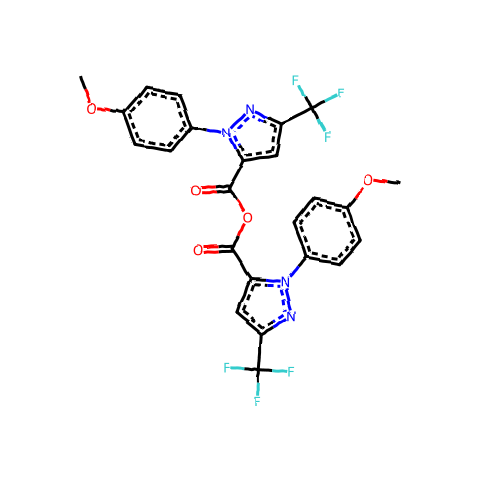 COc1ccc(-n2nc(C(F)(F)F)cc2C(=O)OC(=O)c2cc(C(F)(F)F)nn2-c2ccc(OC)cc2)cc1